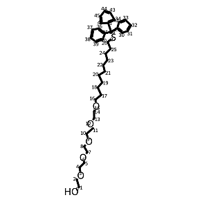 OCCOCCOCCOCCOCCOCCCCCCCCCCCSC(c1ccccc1)(c1ccccc1)c1ccccc1